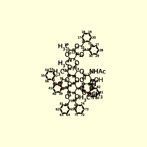 CC(=O)NC1[C@H](OC2[C@H](OC3[C@H](C)OC(C)[C@H](OCc4ccccc4)[C@@H]3OCc3ccccc3)OC(C)[C@H](OCc3ccccc3)[C@@H]2O[C@H]2O[C@@H](COCc3ccccc3)[C@@H](OCc3ccccc3)C(OCc3ccccc3)C2OCc2ccccc2)OC2COC(C)(C)O[C@H]2[C@@H]1O